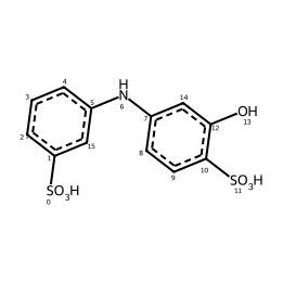 O=S(=O)(O)c1[c]ccc(Nc2ccc(S(=O)(=O)O)c(O)c2)c1